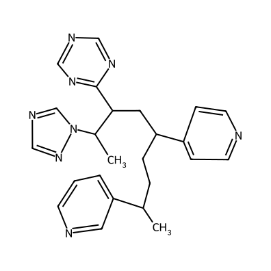 CC(CCC(CC(c1ncncn1)C(C)n1cncn1)c1ccncc1)c1cccnc1